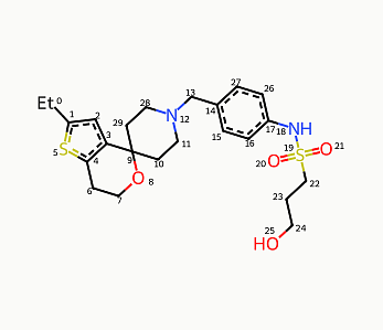 CCc1cc2c(s1)CCOC21CCN(Cc2ccc(NS(=O)(=O)CCCO)cc2)CC1